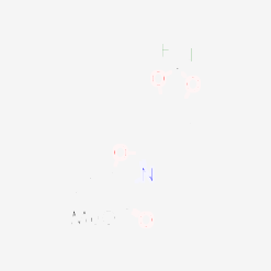 COC(=O)c1nc(-c2ccc3c(c2)OC(F)(F)O3)oc1C1CC1